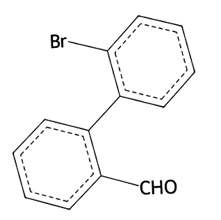 O=Cc1ccccc1-c1ccccc1Br